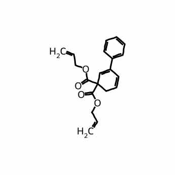 C=CCOC(=O)C1(C(=O)OCC=C)C=C(c2ccccc2)C=CC1